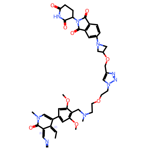 C=N/C=c1/c(=O)n(C)cc(-c2cc(OC)c(CN(C)CCOCCn3cc(COC4CN(c5ccc6c(c5)C(=O)N(C5CCC(=O)NC5=O)C6=O)C4)nn3)c(OC)c2)/c1=C/C